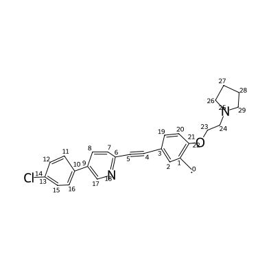 [CH2]c1cc(C#Cc2ccc(-c3ccc(Cl)cc3)cn2)ccc1OCCN1CCCC1